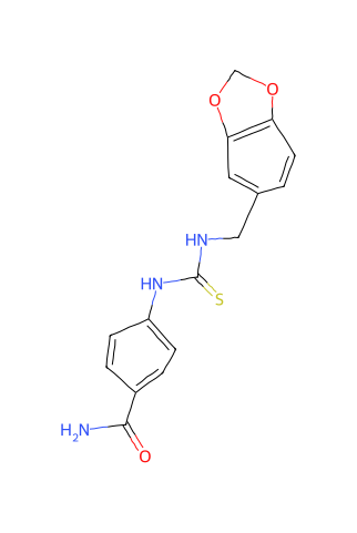 NC(=O)c1ccc(NC(=S)NCc2ccc3c(c2)OCO3)cc1